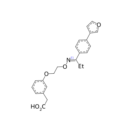 CC/C(=N\OCCOc1cccc(CC(=O)O)c1)c1ccc(-c2ccoc2)cc1